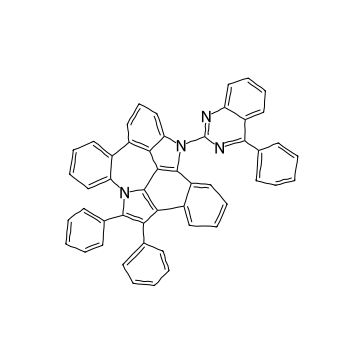 c1ccc(-c2nc(-n3c4cccc5c6ccccc6n6c(-c7ccccc7)c(-c7ccccc7)c7c8ccccc8c3c(c54)c76)nc3ccccc23)cc1